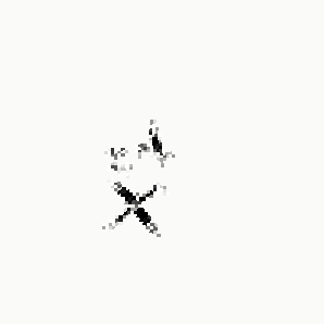 O.O.O.O=S(=O)([O-])[O-].[O]=[Zr+2]